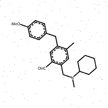 COc1ccc(Cc2cc(C=O)c(CN(C)C3CCCCC3)cc2C)cc1